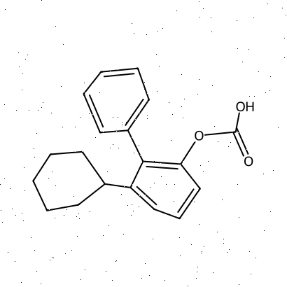 O=C(O)Oc1cccc(C2CCCCC2)c1-c1ccccc1